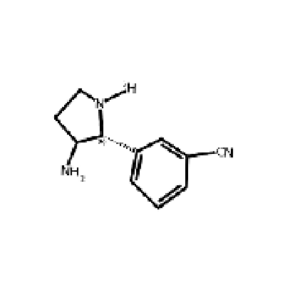 [2H]N1CCC(N)[C@H]1c1cccc(C#N)c1